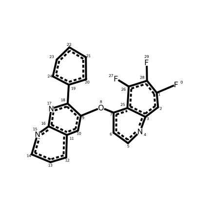 Fc1cc2nccc(Oc3cc4cccnc4nc3-c3ccccc3)c2c(F)c1F